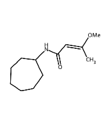 COC(C)=CC(=O)NC1CCCCCC1